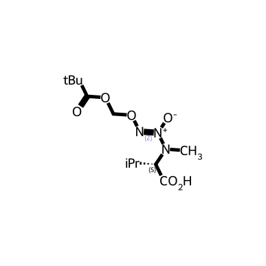 CC(C)[C@@H](C(=O)O)N(C)/[N+]([O-])=N/OCOC(=O)C(C)(C)C